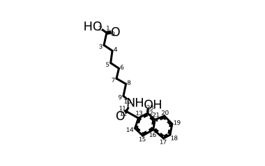 O=C(O)CCCCCCCNC(=O)c1ccc2ccccc2c1O